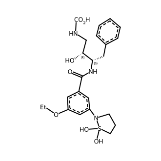 CCOc1cc(C(=O)N[C@@H](Cc2ccccc2)[C@H](O)CNC(=O)O)cc(N2CCCS2(O)O)c1